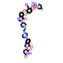 N#Cc1c(NS(=O)(=O)N2CC[C@@H](F)C2)ccc(F)c1Oc1ccc2ncn(C3CCN(CCN4CCN(c5ccc6c(c5)CN(C5CCC(=O)NC5=O)C6=O)CC4)CC3)c(=O)c2c1